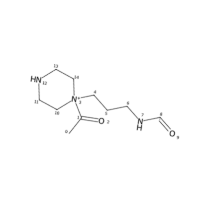 CC(=O)[N+]1(CCCN[C]=O)CCNCC1